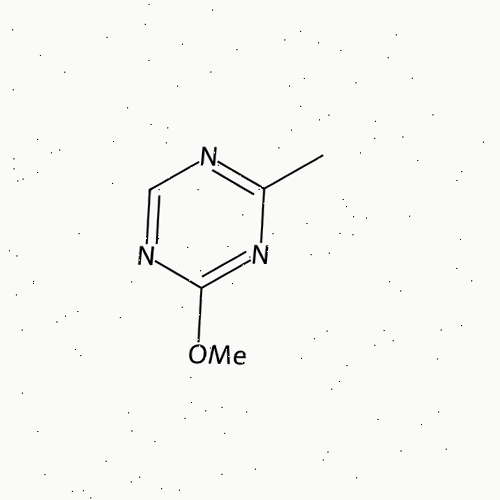 COc1ncnc(C)n1